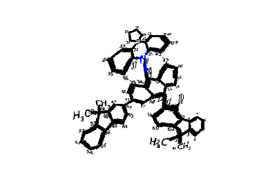 CC1(C)c2ccccc2-c2cc(-c3c4ccccc4c(N4c5ccccc5[Si]5(CCCC5)c5ccccc54)c4ccc(-c5ccc6c(c5)C(C)(C)c5ccccc5-6)cc34)ccc21